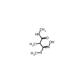 CNC(=O)C(C)/C(=N\O)SC